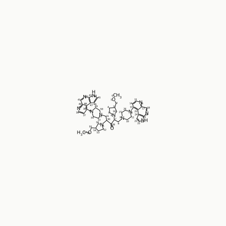 COCC1CCN(C(CN2CCN(c3ccnc4cnc5[nH]ccc5c34)CC2)C(=O)C(CN2CCN(c3ccnc4cnc5[nH]ccc5c34)CC2)N2CCC(COC)C2)C1